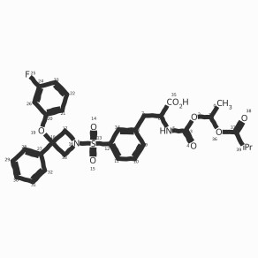 CC(OC(=O)NC(Cc1cccc(S(=O)(=O)N2CC(Oc3cccc(F)c3)(c3ccccc3)C2)c1)C(=O)O)OC(=O)C(C)C